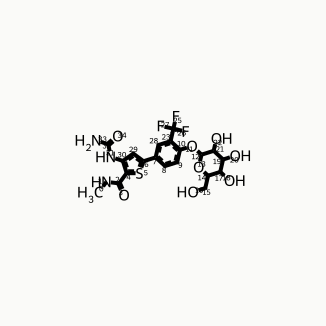 CNC(=O)c1sc(-c2ccc(OC3OC(CO)C(O)C(O)C3O)c(C(F)(F)F)c2)cc1NC(N)=O